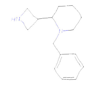 c1ccc(CN2CCCCC2C2CNC2)cc1